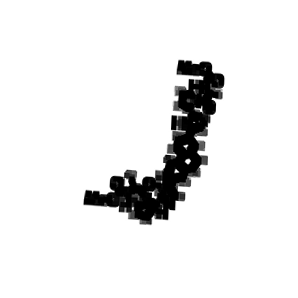 COC(=O)N[C@@H](C)C(=O)N1CCC[C@H]1c1ncc(-c2ccc3c(c2)CCc2cc(-c4cnc([C@@H]5[C@H]6CC[C@H](C6)N5C(=O)[C@H](C)NC(=O)OC)[nH]4)ccc2-3)[nH]1